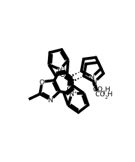 Cc1nc([N+]2(C(=O)[C@@H]3CCCN3C(=O)O)C3=CC=C2C=C3)c([N+]2(C(=O)[C@@H]3CCCN3C(=O)O)C3=CC=C2C=C3)o1